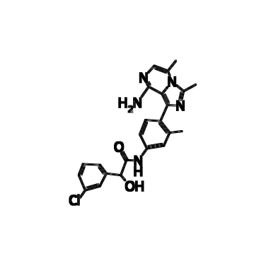 Cc1cc(NC(=O)C(O)c2cccc(Cl)c2)ccc1-c1nc(C)n2c(C)cnc(N)c12